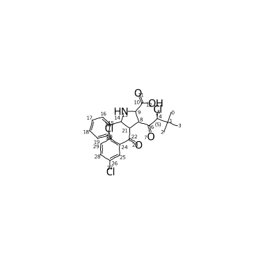 CC(C)(C)[C@H](Cl)C(=O)C1C(C(=O)O)NC(c2ccccc2)C1C(=O)c1cc(Cl)ccc1Cl